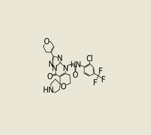 O=C(Cn1c2c(c(=O)n3nc(C4=CCOCC4)nc13)C1(CCNCC1)OCC2)Nc1ccc(C(F)(F)F)cc1Cl